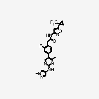 Cc1nc(Nc2cnn(C)c2)ncc1-c1ccc(CC(=O)Nc2cc(C3(C(F)(F)F)CC3)on2)c(F)c1